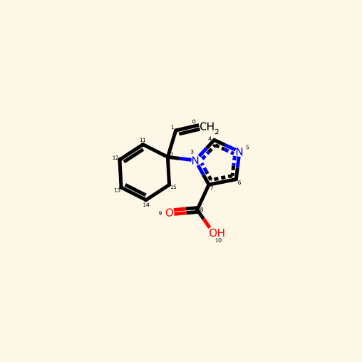 C=CC1(n2cncc2C(=O)O)C=CC=CC1